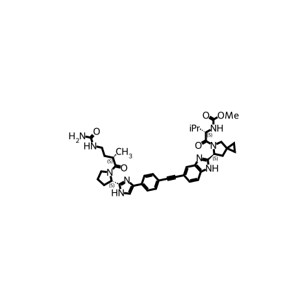 COC(=O)N[C@H](C(=O)N1CC2(CC2)C[C@H]1c1nc2cc(C#Cc3ccc(-c4c[nH]c([C@@H]5CCCN5C(=O)[C@@H](C)CCNC(N)=O)n4)cc3)ccc2[nH]1)C(C)C